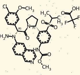 COC(=O)Nc1ccc(S(=O)(=O)C(C)C)c([C@H]2CCCN2C(=O)[C@@H](c2ccc(Cl)c(OC)c2)N(N)c2ccc3cnccc3c2)c1.O=C(O)C(F)(F)F